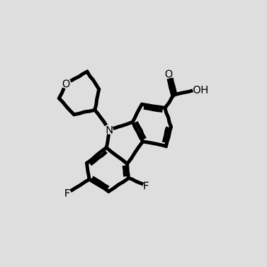 O=C(O)c1ccc2c3c(F)cc(F)cc3n(C3CCOCC3)c2c1